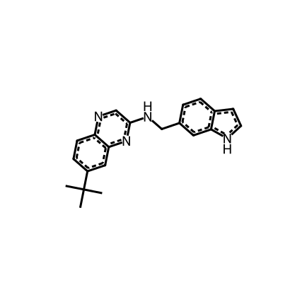 CC(C)(C)c1ccc2ncc(NCc3ccc4cc[nH]c4c3)nc2c1